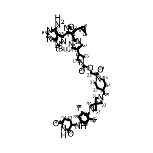 CC(C)(C)n1nc(-c2noc(C3CC3)c2-c2ncc(C3CN(C(=O)OCC(=O)N4CCC(CN5CC6(C5)CN(c5c(F)cc(NC7CCC(=O)NC7=O)cc5F)C6)CC4)C3)cn2)c2c(N)ncnc21